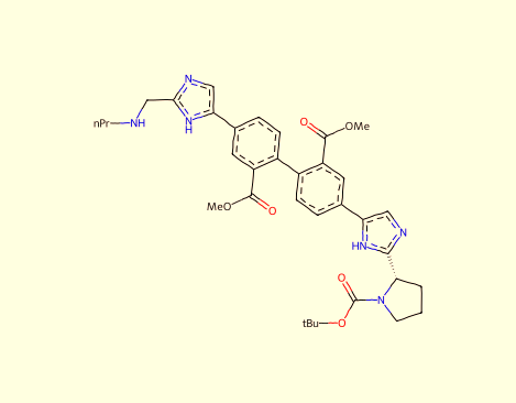 CCCNCc1ncc(-c2ccc(-c3ccc(-c4cnc([C@@H]5CCCN5C(=O)OC(C)(C)C)[nH]4)cc3C(=O)OC)c(C(=O)OC)c2)[nH]1